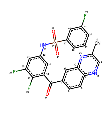 N#Cc1cnc2ccc(C(=O)c3cc(NS(=O)(=O)c4cccc(F)c4)cc(F)c3F)cc2n1